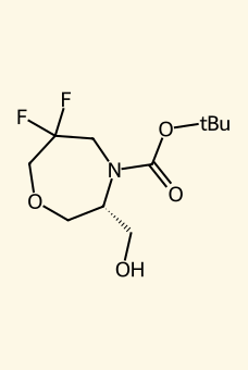 CC(C)(C)OC(=O)N1CC(F)(F)COC[C@H]1CO